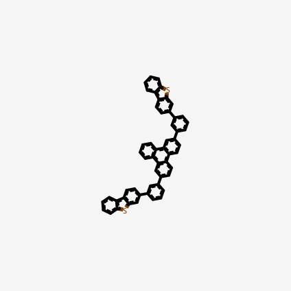 c1cc(-c2ccc3c(c2)sc2ccccc23)cc(-c2ccc3c4ccc(-c5cccc(-c6ccc7c(c6)sc6ccccc67)c5)cc4c4ccccc4c3c2)c1